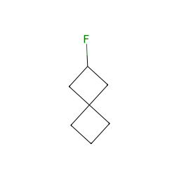 FC1CC2(CCC2)C1